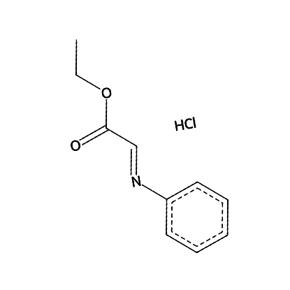 CCOC(=O)C=Nc1ccccc1.Cl